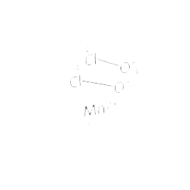 [Mn+2].[O-]Cl.[O-]Cl